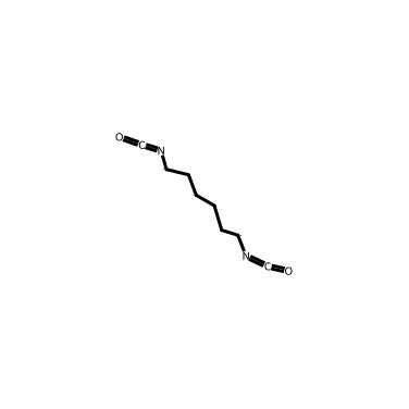 O=C=N[CH]CCCC[CH]N=C=O